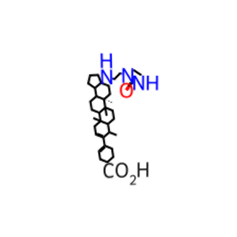 CC1C(C2=CCC(C(=O)O)CC2)=CCC2(C)C1CCC1(C)C2CCC2C3CCCC3(NCCN3CCNC3=O)CC[C@]21C